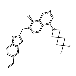 C=Cc1ccc2nc(Cn3ccc4c(N5CC6(C5)CC(F)(F)C6)cncc4c3=O)cn2c1